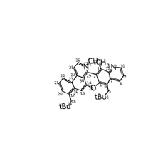 Cc1c2c(c(CC(C)(C)C)c3cccnc13)Oc1cc3c(CC(C)(C)C)cccc3c3cc[n+](C)c-2c13